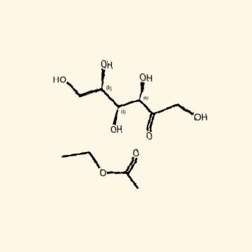 CCOC(C)=O.O=C(CO)[C@H](O)[C@@H](O)[C@H](O)CO